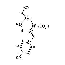 N#CC[C@H]1CN(C(=O)O)[C@@H](Cc2ccc(Cl)cc2)CO1